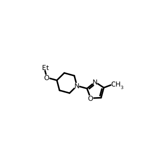 CCOC1CCN(c2nc(C)co2)CC1